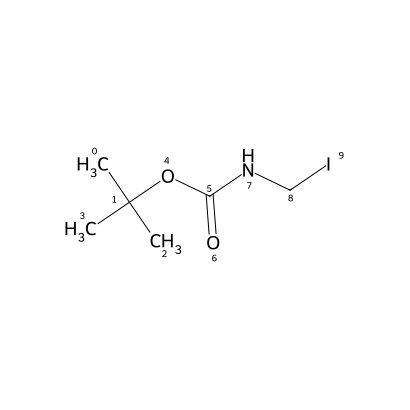 CC(C)(C)OC(=O)NCI